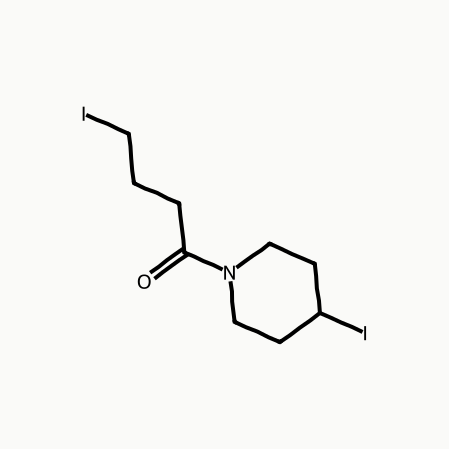 O=C(CCCI)N1CCC(I)CC1